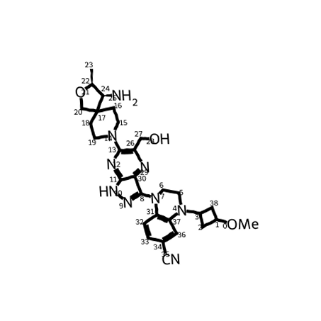 COC1CC(N2CCN(c3n[nH]c4nc(N5CCC6(CC5)CO[C@@H](C)[C@H]6N)c(CO)nc34)c3ccc(C#N)cc32)C1